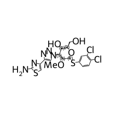 CO[C@@H]1[C@@H](n2cc(-c3csc(N)n3)nn2)[C@@H](O)[C@@H](CO)O[C@@H]1Sc1ccc(Cl)c(Cl)c1